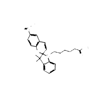 CC1(C)c2ccccc2N(CCCCCC(=O)O)C12C=Cc1cc([N+](=O)[O-])ccc1O2